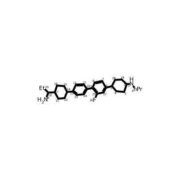 CCCNC1CCC(c2ccc(-c3ccc(C4CCC(C(N)CC)CC4)cc3)c(F)c2)CC1